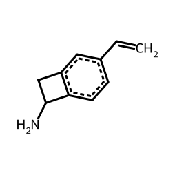 C=Cc1ccc2c(c1)CC2N